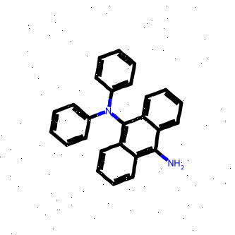 Nc1c2ccccc2c(N(c2ccccc2)c2ccccc2)c2ccccc12